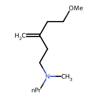 C=C(CCOC)CCN(C)CCC